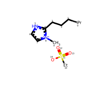 CC(C)CCCc1[nH]cc[n+]1C.CCS(=O)(=O)[O-]